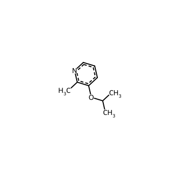 Cc1ncccc1OC(C)C